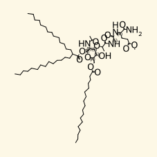 CCCCCCCCCCCCCCCCCC(=O)OC[C@H]1O[C@H](OC(=O)C(CCCCCCCCCCCCCC)CCCCCCCCCCCCCC)[C@H](NC(C)=O)[C@H](OC(C)C(=O)N[C@@H](C)C(=O)N[C@H](CCC(=O)OC)C(N)=O)[C@@H]1O